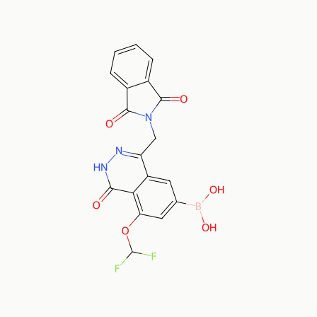 O=C1c2ccccc2C(=O)N1Cc1n[nH]c(=O)c2c(OC(F)F)cc(B(O)O)cc12